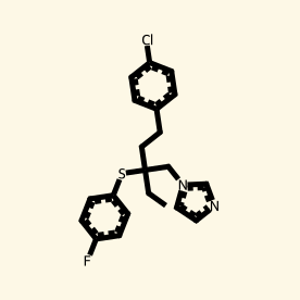 CCC(CCc1ccc(Cl)cc1)(Cn1ccnc1)Sc1ccc(F)cc1